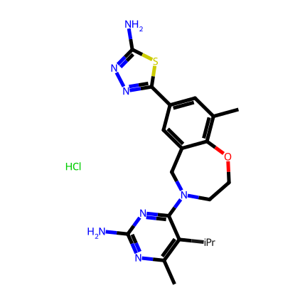 Cc1cc(-c2nnc(N)s2)cc2c1OCCN(c1nc(N)nc(C)c1C(C)C)C2.Cl